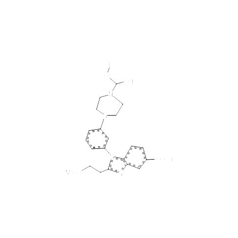 CCOC(C)N1CCN(c2cccc(-n3c(CCOC)nc4cc(C(=O)O)ccc43)c2)CC1